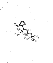 CC(C)(C)OC(=O)NC(c1nccn1C=O)C(C)(C)C